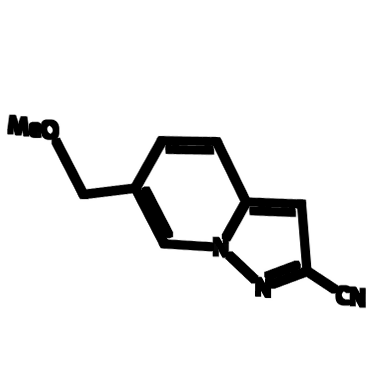 COCc1ccc2cc(C#N)nn2c1